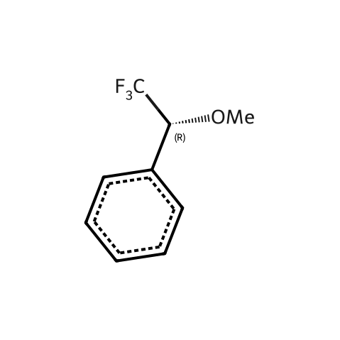 CO[C@H](c1ccccc1)C(F)(F)F